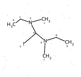 CCN(C)C(I)N(C)CC